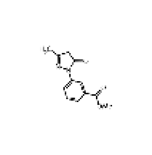 COC(=O)c1cccc(N2N=C(C)CC2=O)c1